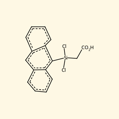 O=C(O)C[Si](Cl)(Cl)c1c2ccccc2cc2ccccc12